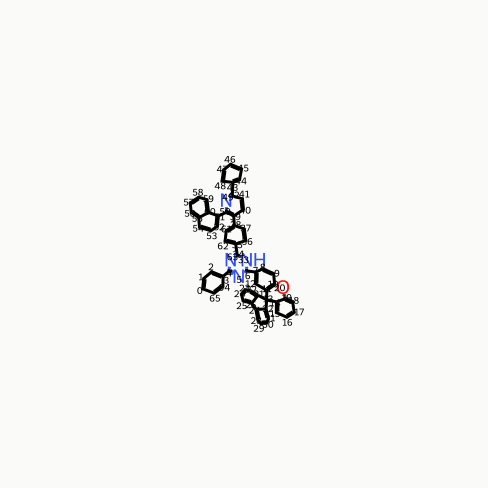 c1ccc(C2=NC(c3ccc4c(c3)C3(c5ccccc5O4)c4ccccc4-c4ccccc43)NC(c3ccc(-c4ccc(-c5ccccc5)nc4-c4cccc5ccccc45)cc3)=N2)cc1